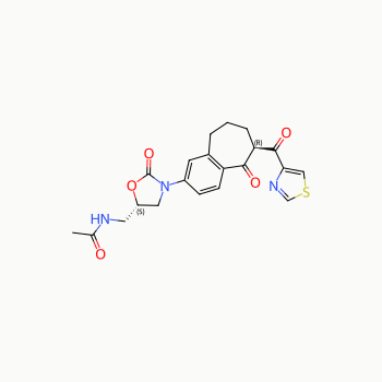 CC(=O)NC[C@H]1CN(c2ccc3c(c2)CCC[C@@H](C(=O)c2cscn2)C3=O)C(=O)O1